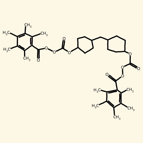 Cc1c(C)c(C)c(C(=O)OOC(=O)OC2CCC(CC3CCC(OC(=O)OOC(=O)c4c(C)c(C)c(C)c(C)c4C)CC3)CC2)c(C)c1C